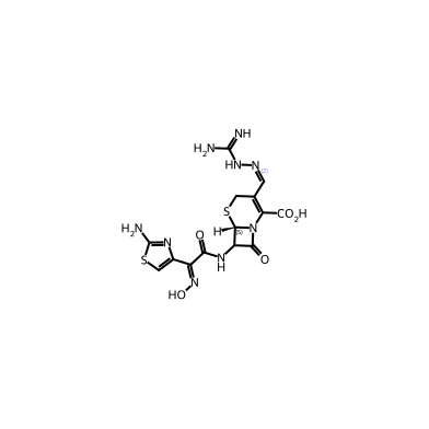 N=C(N)N/N=C\C1=C(C(=O)O)N2C(=O)C(NC(=O)C(=NO)c3csc(N)n3)[C@@H]2SC1